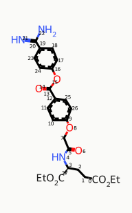 CCOC(=O)CC[C@H](NC(=O)COc1ccc(C(=O)Oc2ccc(C(=N)N)cc2)cc1)C(=O)OCC